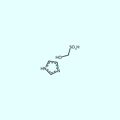 O=S(=O)(O)CO.c1c[nH]cn1